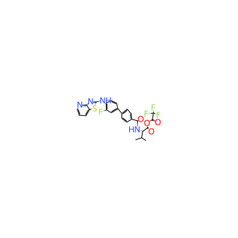 CC(C)[C@H](NC(=O)c1ccc(-c2ccc(Nc3nc4ncccc4s3)c(F)c2)cc1)C(=O)OC(=O)C(F)(F)F